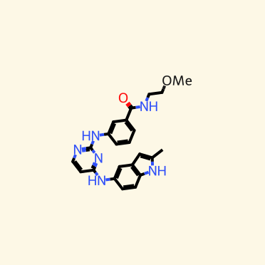 COCCNC(=O)c1cccc(Nc2nccc(Nc3ccc4[nH]c(C)cc4c3)n2)c1